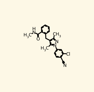 CNC(=O)c1ccccc1Cc1c(C)nn(-c2ccc(C#N)c(Cl)c2)c1C